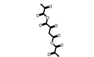 CC(=O)C(=O)OC(=O)CC(=O)C(=O)OC(=O)C(C)=O